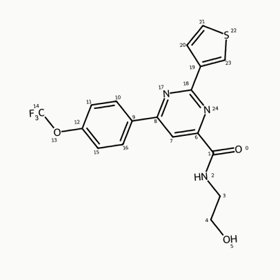 O=C(NCCO)c1cc(-c2ccc(OC(F)(F)F)cc2)nc(-c2ccsc2)n1